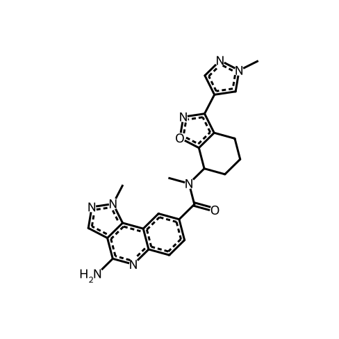 CN(C(=O)c1ccc2nc(N)c3cnn(C)c3c2c1)C1CCCc2c(-c3cnn(C)c3)noc21